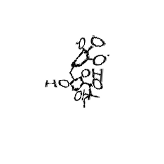 CCC(C)C(=O)c1c(O)cc(O)c(Cc2cc(OC)c(OC)c(OC)c2)c1O